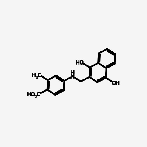 Cc1cc(NCc2cc(O)c3ccccc3c2O)ccc1C(=O)O